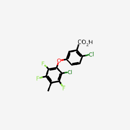 Cc1c(F)c(F)c(Oc2ccc(Cl)c(C(=O)O)c2)c(Cl)c1F